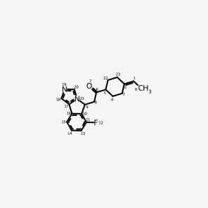 CC=C1CCC(C(=O)CC2c3c(F)cccc3-c3cncn32)CC1